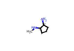 CNC1CCCC1N